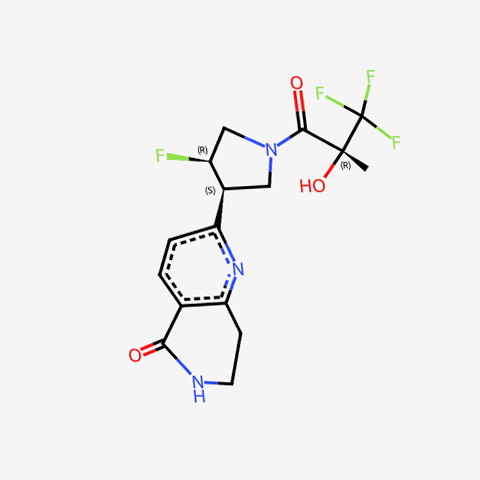 C[C@@](O)(C(=O)N1C[C@H](F)[C@H](c2ccc3c(n2)CCNC3=O)C1)C(F)(F)F